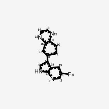 Fc1cnc2[nH]cc(-c3ccc4nccnc4c3)c2c1